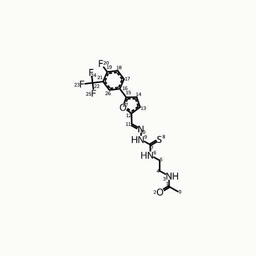 CC(=O)NCCNC(=S)N/N=C/c1ccc(-c2ccc(F)c(C(F)(F)F)c2)o1